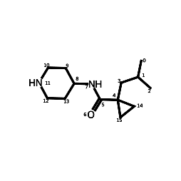 CC(C)CC1(C(=O)NC2CCNCC2)CC1